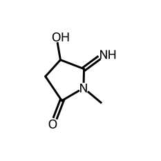 CN1C(=N)C(O)CC1=O